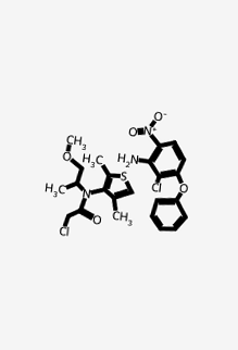 COCC(C)N(C(=O)CCl)c1c(C)csc1C.Nc1c([N+](=O)[O-])ccc(Oc2ccccc2)c1Cl